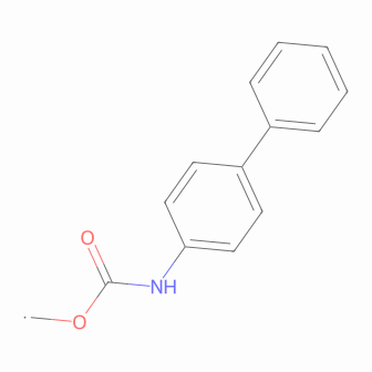 [CH2]OC(=O)Nc1ccc(-c2ccccc2)cc1